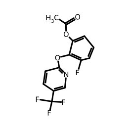 CC(=O)Oc1cccc(F)c1Oc1ccc(C(F)(F)F)cn1